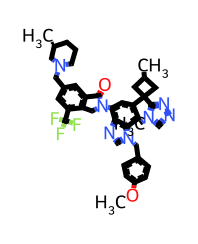 COc1ccc(Cn2cnc3c(N4Cc5c(cc(CN6CCC[C@H](C)C6)cc5C(F)(F)F)C4=O)cc(C4(c5nncn5C)CC(C)C4)cc32)cc1